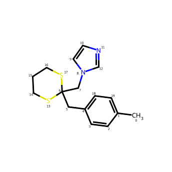 Cc1ccc(CC2(Cn3ccnc3)SCCCS2)cc1